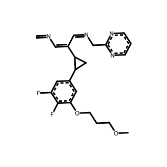 C=N/C=C(\C=N/Cc1ncccn1)C1CC1c1cc(F)c(F)c(OCCCOC)c1